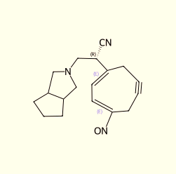 N#C[C@@H](CN1CC2CCCC2C1)/C1=C/C=C(/N=O)CC#CC1